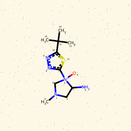 CN1CC(N)[N+]([O-])(c2nnc(C(C)(C)C)s2)C1